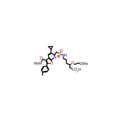 CNC(=O)c1c(-c2ccc(C)cc2)oc2nc(CS(=O)(=O)NCCCC(CC(=O)O)OCCOC)c(C3CC3)cc12